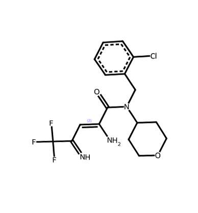 N=C(/C=C(\N)C(=O)N(Cc1ccccc1Cl)C1CCOCC1)C(F)(F)F